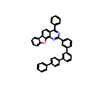 c1ccc(-c2ccc(-c3cccc(-c4cccc(-c5nc(-c6ccccc6)c6ccc7c8ccccc8oc7c6n5)c4)c3)cc2)cc1